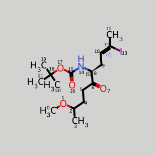 COC(C)CCC(=O)[C@H](C/C=C(/C)I)NC(=O)OC(C)(C)C